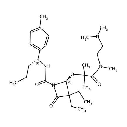 CCC[C@@H](NC(=O)N1C(=O)C(CC)(CC)[C@@H]1OC(C)(C)C(=O)N(C)CCN(C)C)c1ccc(C)cc1